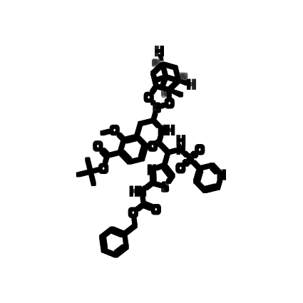 COc1c(CC(NC(=O)C(NS(=O)(=O)c2cccnc2)c2csc(NC(=O)OCc3ccccc3)n2)B2OC3C[C@H]4C[C@@H](C4(C)C)[C@]3(C)O2)cccc1C(=O)OC(C)(C)C